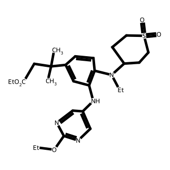 CCOC(=O)CC(C)(C)c1ccc(N(CC)C2CCS(=O)(=O)CC2)c(Nc2cnc(OCC)nc2)c1